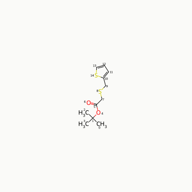 CC(C)(C)OC(=O)CSCc1cccs1